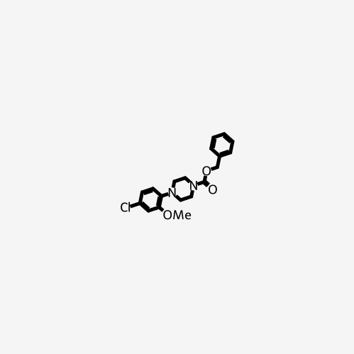 COc1cc(Cl)ccc1N1CCN(C(=O)OCc2ccccc2)CC1